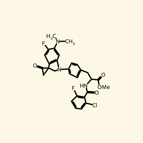 COC(=O)C(Cc1ccc(N2CC3(CC3=O)c3cc(F)c(N(C)C)cc32)cc1)NC(=O)c1c(F)cccc1Cl